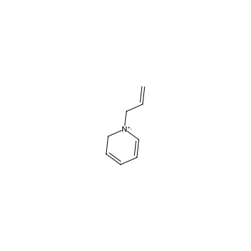 C=CC[N+]1C=CC=CC1